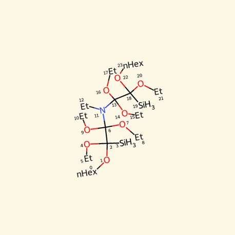 CCCCCCOC([SiH3])(OCC)C(OCC)(OCC)N(CC)C(OCC)(OCC)C([SiH3])(OCC)OCCCCCC